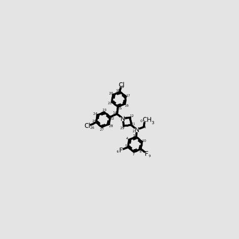 CCN(c1cc(F)cc(F)c1)C1CN(C(c2ccc(Cl)cc2)c2ccc(Cl)cc2)C1